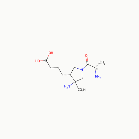 C[C@H](N)C(=O)N1CC(CCCB(O)O)C(N)(C(=O)O)C1